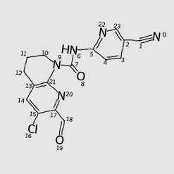 N#Cc1ccc(NC(=O)N2CCCc3cc(Cl)c(C=O)nc32)nc1